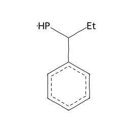 CCC([PH])c1ccccc1